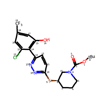 CC(C)(C)OC(=O)N1CCC[C@@H](Sc2ccc(-c3c(O)cc(C(F)(F)F)cc3Cl)nn2)C1